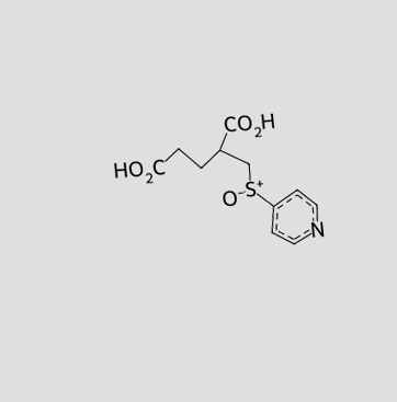 O=C(O)CCC(C[S+]([O-])c1ccncc1)C(=O)O